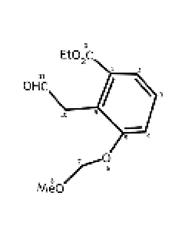 CCOC(=O)c1cccc(OCOC)c1CC=O